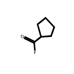 O=C(F)C1CCCC1